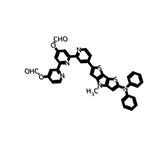 Cn1c2cc(-c3ccnc(-c4cc(OC=O)cc(-c5cc(OC=O)ccn5)n4)c3)sc2c2sc(N(c3ccccc3)c3ccccc3)cc21